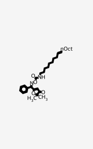 CCCCCCCCC=CCCCCCCCCNC(=O)ON=C(C1=CC(=O)C(C)(C)O1)c1ccccc1